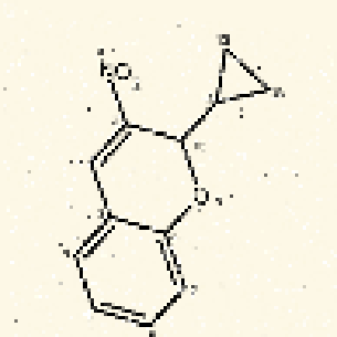 O=[N+]([O-])C1=Cc2ccccc2OC1C1CC1